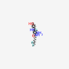 Nc1c(NC(=O)CCCCCC(F)CF)ccc(NCc2ccc(O)cc2)c1F